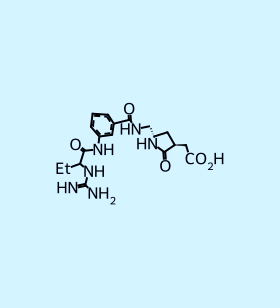 CCC(NC(=N)N)C(=O)Nc1cccc(C(=O)NC[C@@H]2C[C@@H](CC(=O)O)C(=O)N2)c1